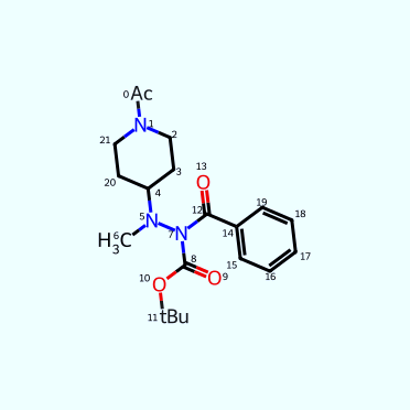 CC(=O)N1CCC(N(C)N(C(=O)OC(C)(C)C)C(=O)c2ccccc2)CC1